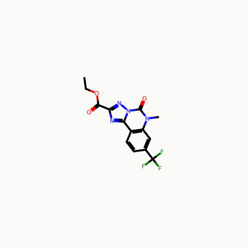 CCOC(=O)c1nc2c3ccc(C(F)(F)F)cc3n(C)c(=O)n2n1